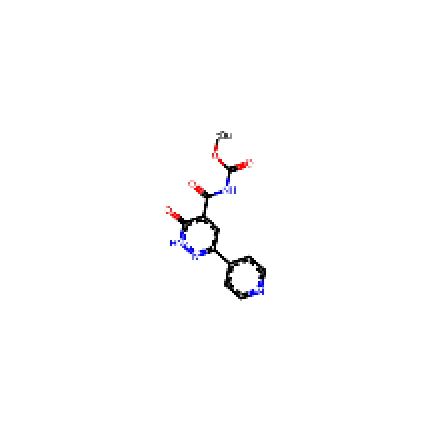 CC(C)(C)OC(=O)NC(=O)c1cc(-c2ccncc2)n[nH]c1=O